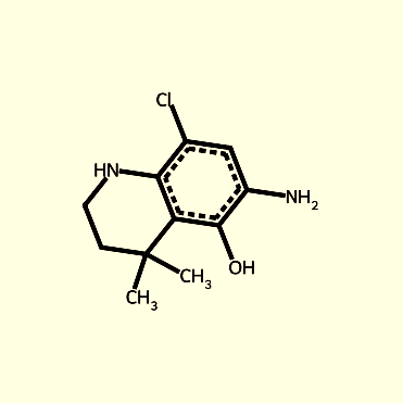 CC1(C)CCNc2c(Cl)cc(N)c(O)c21